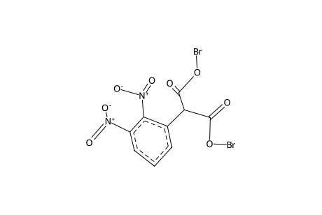 O=C(OBr)C(C(=O)OBr)c1cccc([N+](=O)[O-])c1[N+](=O)[O-]